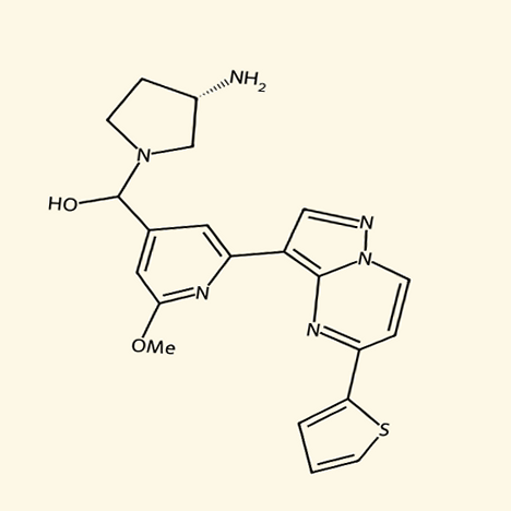 COc1cc(C(O)N2CC[C@H](N)C2)cc(-c2cnn3ccc(-c4cccs4)nc23)n1